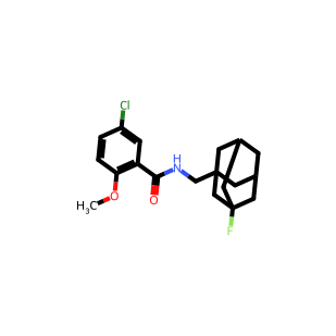 COc1ccc(Cl)cc1C(=O)NCC12CC3CC(CC(F)(C3)C1)C2